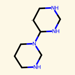 [CH]1CNCNC1N1CCCNC1